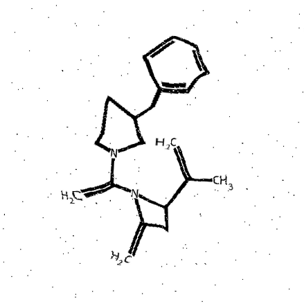 C=C(C)C1CC(=C)N1C(=C)N1CCC(c2ccccc2)C1